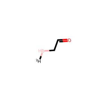 [2H]BCC=O